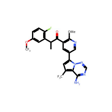 COc1ncc(-c2cc(C(F)(F)F)c3c(N)ncnn23)cc1C(=O)C(C)c1cc(OC(F)(F)F)ccc1F